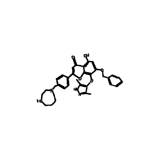 Cc1n[nH]c(C)c1Oc1c(OCc2ccccc2)cc(O)c2c(=O)cc(-c3ccc(N4CCCNCC4)cc3)oc12